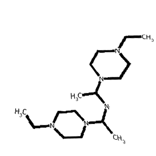 CCN1CCN(C(C)[N]C(C)N2CCN(CC)CC2)CC1